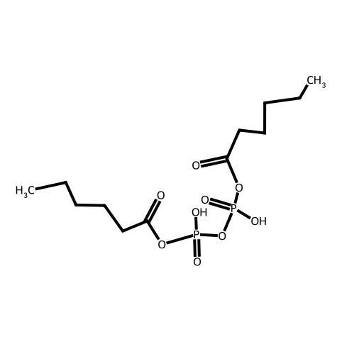 CCCCCC(=O)OP(=O)(O)OP(=O)(O)OC(=O)CCCCC